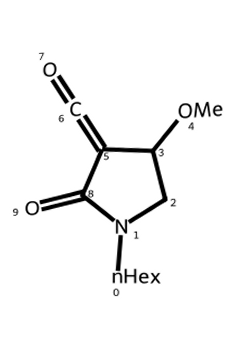 CCCCCCN1CC(OC)C(=C=O)C1=O